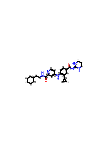 O=C(N=C1NCCCN1)c1ccc(Nc2ccnc(C(=O)NCCC3CCCCC3)c2)c(C2CC2)c1